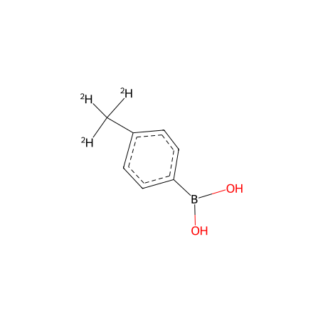 [2H]C([2H])([2H])c1ccc(B(O)O)cc1